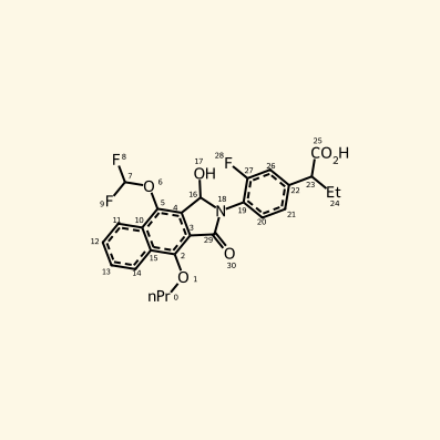 CCCOc1c2c(c(OC(F)F)c3ccccc13)C(O)N(c1ccc(C(CC)C(=O)O)cc1F)C2=O